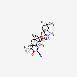 CC(=O)/C=C1/[C@@]2(C)C=C(C#N)C(=O)C(C)(C)[C@@H]2CC[C@@]1(C)C(C)(C)CC[C@@]1(c2nnco2)CCC(C)(C)CC1C